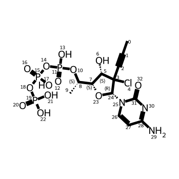 CC#CC1(Cl)[C@@H](O)[C@@H]([C@H](C)OP(=O)(O)OP(=O)(O)OP(=O)(O)O)O[C@H]1n1ccc(N)nc1=O